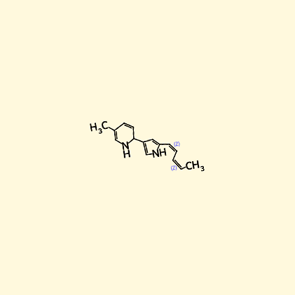 C/C=C\C=C/c1cc(C2C=CC(C)=CN2)c[nH]1